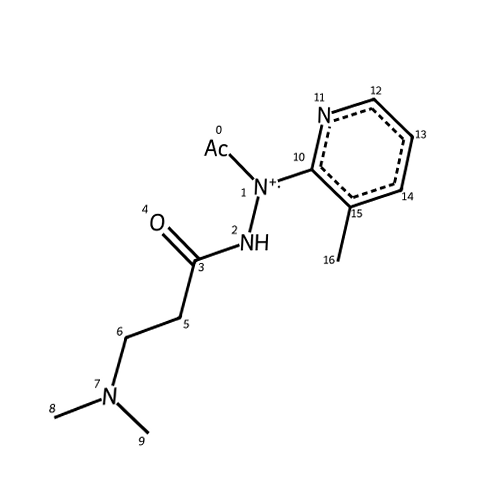 CC(=O)[N+](NC(=O)CCN(C)C)c1ncccc1C